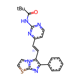 CC(C)(C)C(=O)Nc1nccc(/C=C/c2c(-c3ccccc3)nc3sccn23)n1